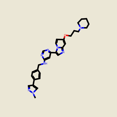 Cn1cc(-c2ccc(CNc3cc(-c4cnc5cc(OCCCN6CCCCC6)ccn45)ncn3)cc2)cn1